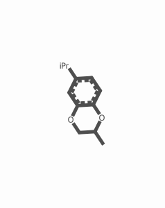 CC1COc2cc(C(C)C)ccc2O1